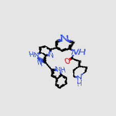 O=C(CC1CCNCC1)Nc1cncc(-c2ccc3[nH]nc(-c4cc5ccccc5[nH]4)c3n2)c1